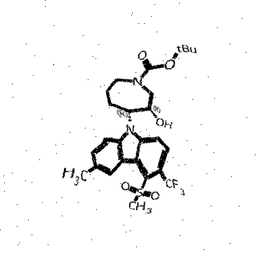 Cc1ccc2c(c1)c1c(S(C)(=O)=O)c(C(F)(F)F)ccc1n2[C@@H]1CCCN(C(=O)OC(C)(C)C)C[C@H]1O